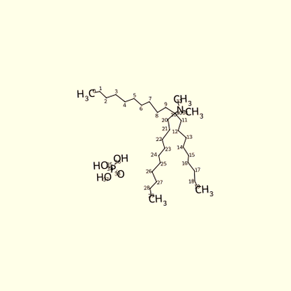 CCCCCCCCCCC(CCCCCCCCC)(CCCCCCCCCC)N(C)C.O=P(O)(O)O